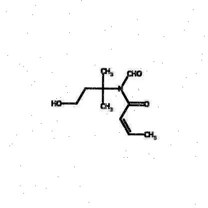 C/C=C\C(=O)N(C=O)C(C)(C)CCO